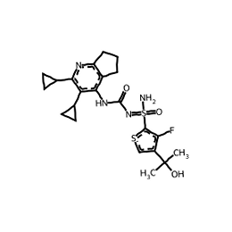 CC(C)(O)c1csc(S(N)(=O)=NC(=O)Nc2c3c(nc(C4CC4)c2C2CC2)CCC3)c1F